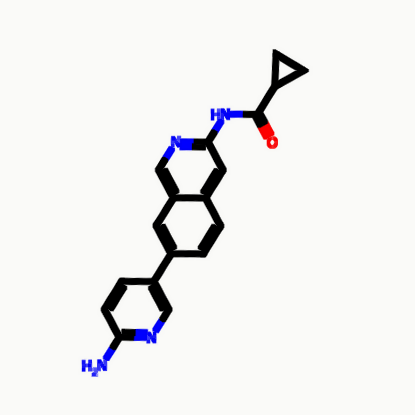 Nc1ccc(-c2ccc3cc(NC(=O)C4CC4)ncc3c2)cn1